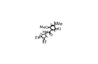 CCN1CC(NC(=O)c2cc(Cl)c(NC)cc2OC)CN1CC